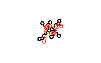 O=C1C(=O)c2ccccc2/C1=C/c1cc2c(s1)C1=C(c3sc4cc(/C=C5\C(=O)C(=O)c6ccccc65)sc4c3C1(C(=O)OCc1ccccc1)C(=O)OCc1ccccc1)C2(C(=O)OCc1ccccc1)C(=O)OCc1ccccc1